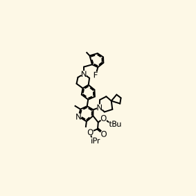 Cc1cccc(F)c1CN1CCc2cc(-c3c(C)nc(C)c(C(OC(C)(C)C)C(=O)OC(C)C)c3N3CCC4(CCC4)CC3)ccc2C1